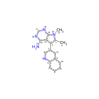 Cc1c(-c2cnc3ccccc3c2)c2c(N)ncnc2n1C